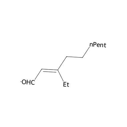 CCCCCCC/C(=C/[C]=O)CC